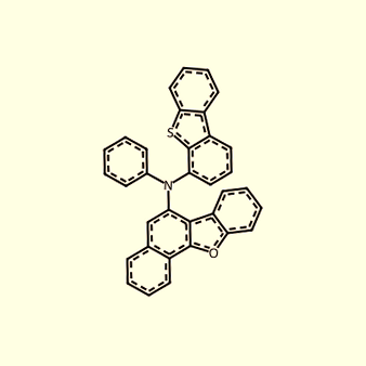 c1ccc(N(c2cccc3c2sc2ccccc23)c2cc3ccccc3c3oc4ccccc4c23)cc1